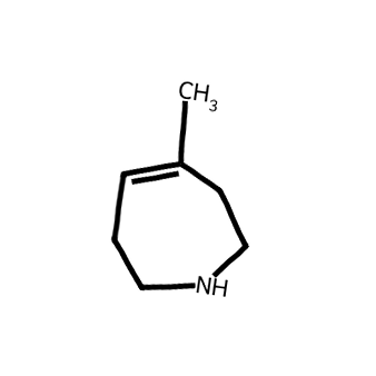 CC1=CCCNCC1